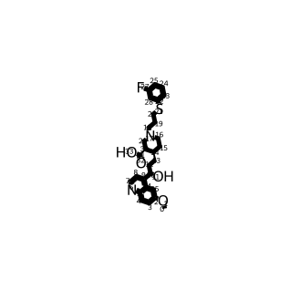 COc1ccc2nccc(C(O)CC[C@@H]3CCN(CCCSc4cccc(F)c4)C[C@@H]3C(=O)O)c2c1